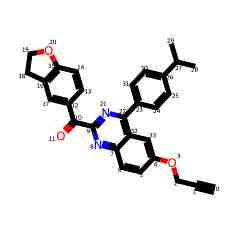 C#CCOc1ccc2nc(C(=O)c3ccc4c(c3)CCO4)nc(-c3ccc(C(C)C)cc3)c2c1